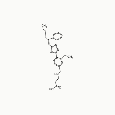 CCCC/C(=C/c1nnc(-c2ccc(CNCCC(=O)O)cc2CC)o1)c1ccccc1